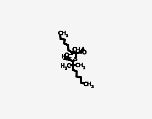 CCCCCCC(C)(C)C(SC(C1CO1)C(C)(C)CCCCCC)C1CO1